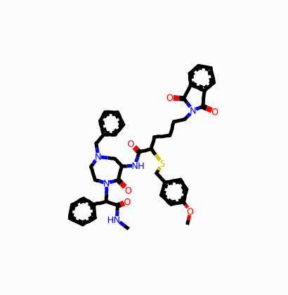 CNC(=O)C(c1ccccc1)N1CCN(Cc2ccccc2)CC(NC(=O)C(CCCCN2C(=O)c3ccccc3C2=O)SCc2ccc(OC)cc2)C1=O